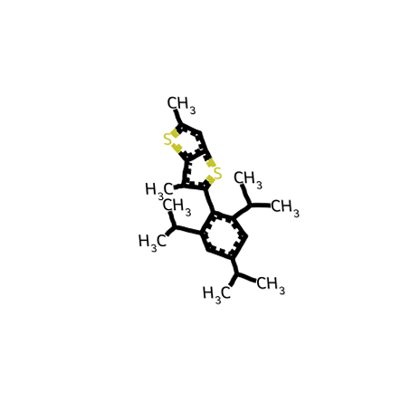 Cc1cc2sc(-c3c(C(C)C)cc(C(C)C)cc3C(C)C)c(C)c2s1